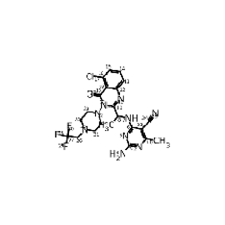 Cc1nc(N)nc(NC(C)c2nc3cccc(Cl)c3c(=O)n2N2CCN(CC(F)(F)F)CC2)c1C#N